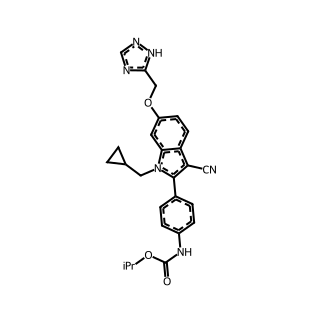 CC(C)OC(=O)Nc1ccc(-c2c(C#N)c3ccc(OCc4ncn[nH]4)cc3n2CC2CC2)cc1